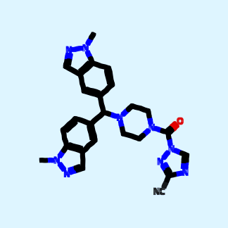 Cn1ncc2cc(C(c3ccc4c(cnn4C)c3)N3CCN(C(=O)n4cnc(C#N)n4)CC3)ccc21